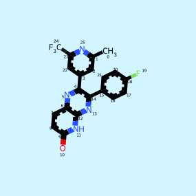 Cc1cc(-c2nc3ccc(=O)[nH]c3nc2-c2ccc(F)cc2)cc(C(F)(F)F)n1